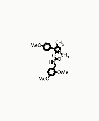 COc1ccc(-c2c(C)cn(C)c2OC(=O)NCc2ccc(OC)cc2OC)cc1